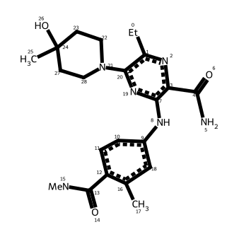 CCc1nc(C(N)=O)c(Nc2ccc(C(=O)NC)c(C)c2)nc1N1CCC(C)(O)CC1